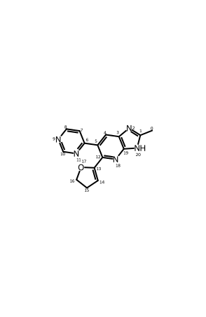 Cc1nc2cc(-c3ccncn3)c(C3=CCCO3)nc2[nH]1